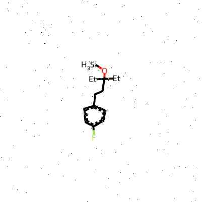 CCC(CC)(CCc1ccc(F)cc1)O[SiH3]